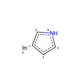 [In].c1cc[nH]c1